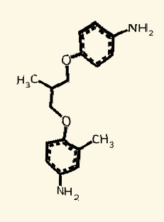 Cc1cc(N)ccc1OCC(C)COc1ccc(N)cc1